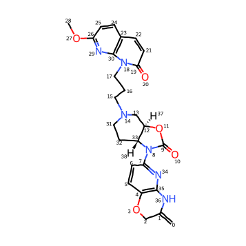 C=C1COc2ccc(N3C(=O)O[C@@H]4CN(CCCn5c(=O)ccc6ccc(OC)nc65)CC[C@H]43)nc2N1